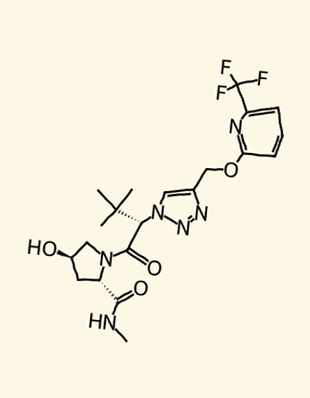 CNC(=O)[C@@H]1C[C@@H](O)CN1C(=O)[C@@H](n1cc(COc2cccc(C(F)(F)F)n2)nn1)C(C)(C)C